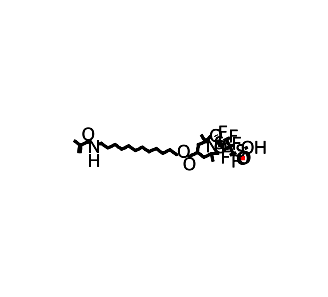 C=C(C)C(=O)NCCCCCCCCCCCCOC(=O)C1CC(C)(C)N(S(=O)(=O)C(F)(F)C(F)(F)C(F)(F)S(=O)(=O)O)C(C)(C)C1